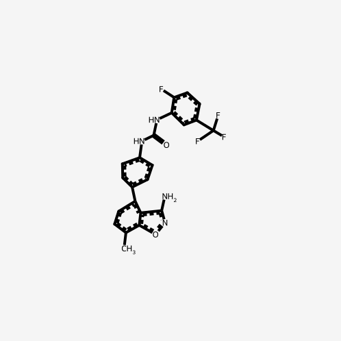 Cc1ccc(-c2ccc(NC(=O)Nc3cc(C(F)(F)F)ccc3F)cc2)c2c(N)noc12